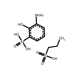 CC(=O)Nc1cccc([As](=O)(O)O)c1O.CCCS(=O)(=O)O